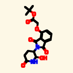 CC(C)(C)OC(=O)COc1cccc2c1C(=O)N(C1CCC(=O)NC1O)C2=O